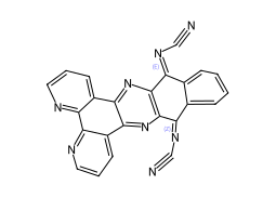 N#C/N=C1/c2ccccc2/C(=N\C#N)c2nc3c4cccnc4c4ncccc4c3nc21